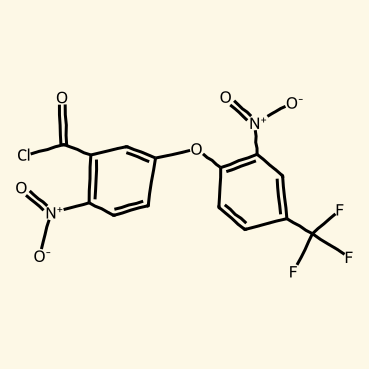 O=C(Cl)c1cc(Oc2ccc(C(F)(F)F)cc2[N+](=O)[O-])ccc1[N+](=O)[O-]